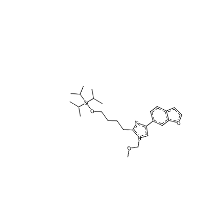 COCn1cc(-c2ccc3ccoc3c2)nc1CCCCO[Si](C(C)C)(C(C)C)C(C)C